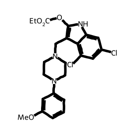 CCOC(=O)Oc1[nH]c2cc(Cl)cc(Cl)c2c1CN1CCN(c2cccc(OC)c2)CC1